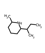 CCC(C)C1CCCC(C)N1